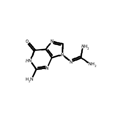 NC(N)=Nn1cnc2c(=O)[nH]c(N)nc21